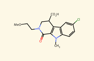 COCCN1CC(C(=O)O)c2c(n(C)c3ccc(Cl)cc23)C1=O